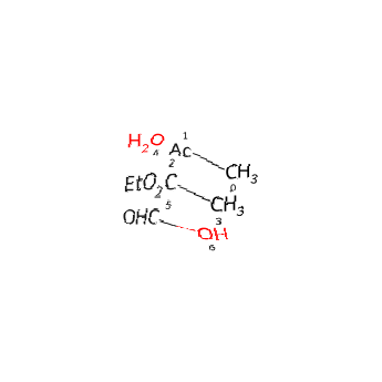 CC(C)=O.CCOC(C)=O.O.O=CO